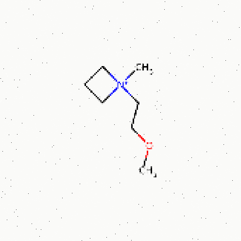 COCC[N+]1(C)CCC1